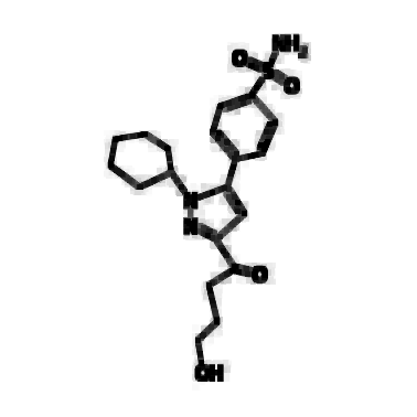 NS(=O)(=O)c1ccc(-c2cc(C(=O)CCCO)nn2C2CCCCC2)cc1